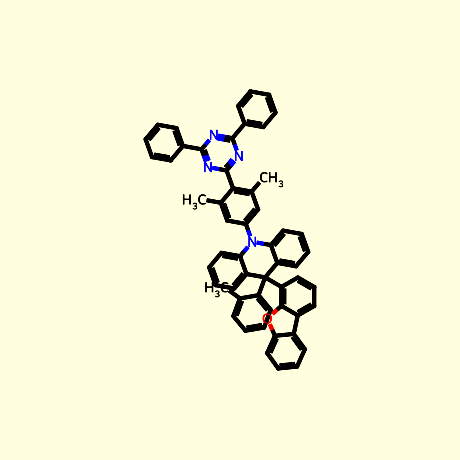 Cc1ccccc1C1(c2cccc3c2oc2ccccc23)c2ccccc2N(c2cc(C)c(-c3nc(-c4ccccc4)nc(-c4ccccc4)n3)c(C)c2)c2ccccc21